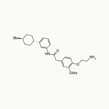 COc1cc(CC(=O)Nc2cccc([C@H]3CC[C@H](C(C)(C)C)CC3)c2)ccc1OCCN